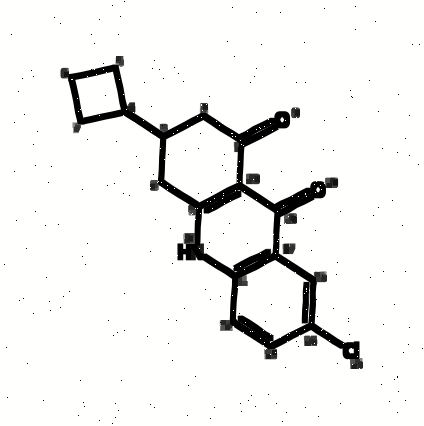 O=C1CC(C2CCC2)Cc2[nH]c3ccc(Cl)cc3c(=O)c21